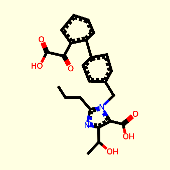 CCCc1nc(C(C)O)c(C(=O)O)n1Cc1ccc(-c2ccccc2C(=O)C(=O)O)cc1